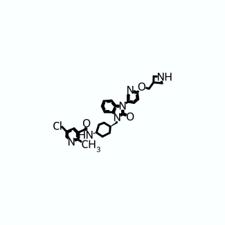 Cc1ncc(Cl)cc1C(=O)N[C@H]1CC[C@H](Cn2c(=O)n(-c3ccc(OCC4CNC4)nc3)c3ccccc32)CC1